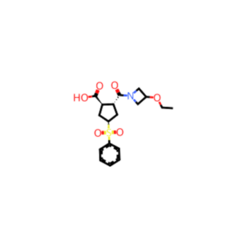 CCOC1CN(C(=O)[C@@H]2C[C@@H](S(=O)(=O)c3ccccc3)C[C@H]2C(=O)O)C1